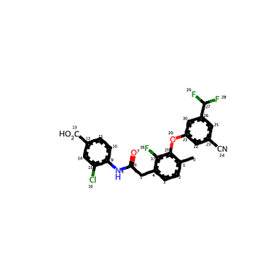 Cc1ccc(CC(=O)Nc2ccc(C(=O)O)cc2Cl)c(F)c1Oc1cc(C#N)cc(C(F)F)c1